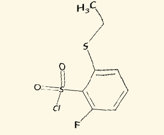 CCSc1cccc(F)c1S(=O)(=O)Cl